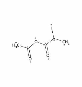 CC(=O)OC(=O)C(C)I